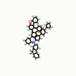 CC1(C)c2ccccc2-c2ccc(N(c3ccc(-c4ccc(-c5ccccc5)cc4)cc3)c3ccccc3-c3ccc4c5ccccc5c5c(ccc6oc7ccccc7c65)c4c3)cc21